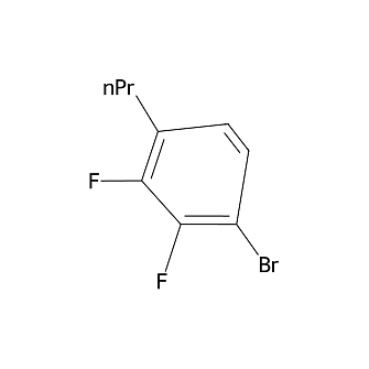 CCCc1ccc(Br)c(F)c1F